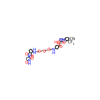 CC(O)(CS(=O)(=O)c1ccc(NCCOCCOCCOCCNc2cccc3c2C(=O)N(C2CCC(=O)NC2=O)C3=O)cc1)C(=O)Nc1ccc(C#N)c(C(F)(F)F)c1